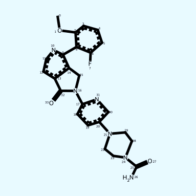 COc1cccc(F)c1-c1nccc2c1CN(c1ccc(N3CCN(C(N)=O)CC3)cn1)C2=O